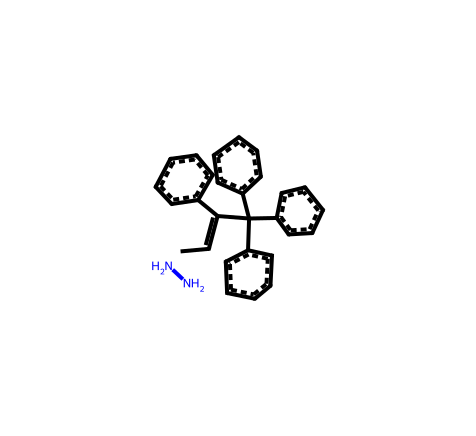 CC=C(c1ccccc1)C(c1ccccc1)(c1ccccc1)c1ccccc1.NN